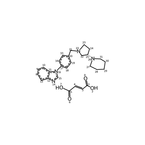 O=C(O)/C=C/C(=O)O.c1ccc2c(c1)ncn2-c1ccc(CN2CC[C@H](N3CCCCC3)C2)cc1